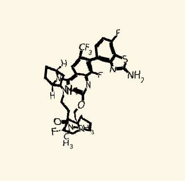 CN(C)C(=O)CCNC1C[C@H]2CC[C@@H]1N2c1nc(OC[C@@]23CCCN2C[C@H](F)C3)nc2c(F)c(-c3ccc(F)c4sc(N)nc34)c(C(F)(F)F)cc12